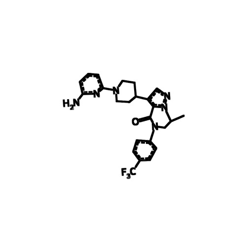 CC1CN(c2ccc(C(F)(F)F)cc2)C(=O)c2c(C3CCN(c4cccc(N)n4)CC3)cnn21